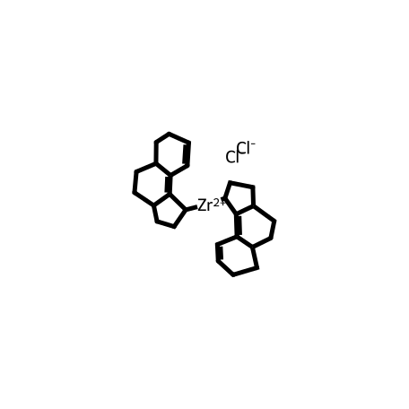 C1=CC2=C3C(CCC2CC1)CC[CH]3[Zr+2][CH]1CCC2CCC3CCC=CC3=C21.[Cl-].[Cl-]